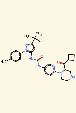 Cc1ccc(-n2nc(C(C)(C)C)cc2NC(=O)Nc2ccc(N3CCNCC3C(=O)C3CCC3)nc2)cc1